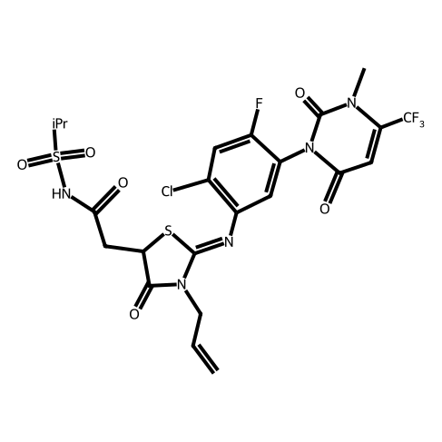 C=CCN1C(=O)C(CC(=O)NS(=O)(=O)C(C)C)SC1=Nc1cc(-n2c(=O)cc(C(F)(F)F)n(C)c2=O)c(F)cc1Cl